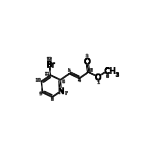 COC(=O)C=Cc1ncccc1Br